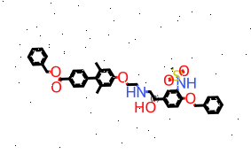 Cc1cc(OCCNC[C@H](O)c2ccc(OCc3ccccc3)c(NS(C)(=O)=O)c2)cc(C)c1-c1ccc(C(=O)OCc2ccccc2)cc1